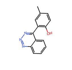 Cc1ccc(O)c(-c2nnnc3ccccc23)c1